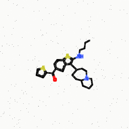 CCCCNc1sc2ccc(C(=O)c3cccs3)cc2c1C1CCC2CCCCN2CC1